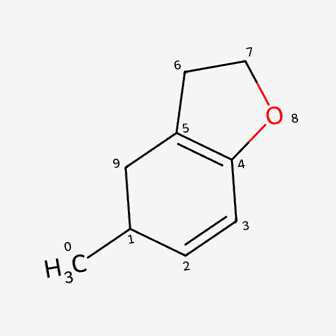 CC1C=CC2=C(CCO2)C1